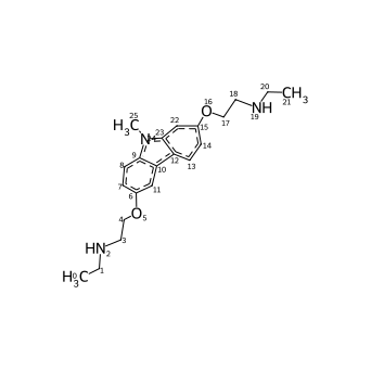 CCNCCOc1ccc2c(c1)c1ccc(OCCNCC)cc1n2C